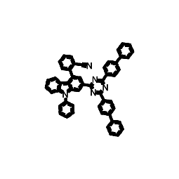 N#Cc1ccccc1-c1cc(-c2nc(-c3ccc(-c4ccccc4)cc3)nc(-c3ccc(-c4ccccc4)cc3)n2)cc2c1c1ccccc1n2-c1ccccc1